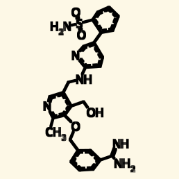 Cc1ncc(CNc2ccc(-c3ccccc3S(N)(=O)=O)cn2)c(CO)c1OCc1cccc(C(=N)N)c1